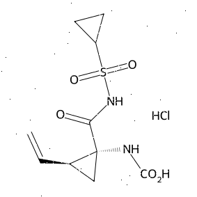 C=C[C@@H]1C[C@]1(NC(=O)O)C(=O)NS(=O)(=O)C1CC1.Cl